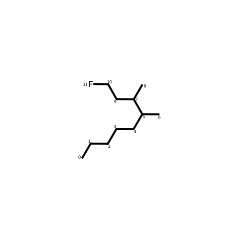 CCCCCC(C)C(C)CCF